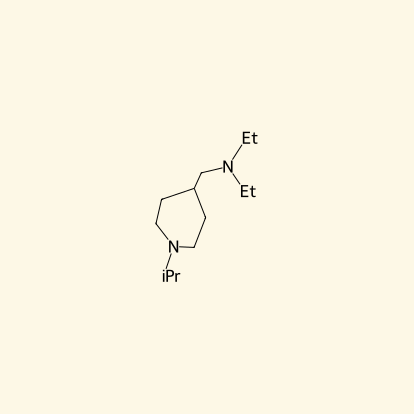 CCN(CC)CC1CCN(C(C)C)CC1